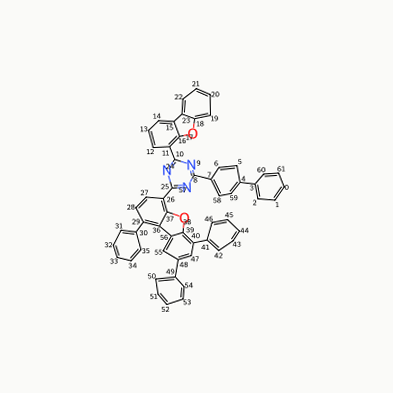 c1ccc(-c2ccc(-c3nc(-c4cccc5c4oc4ccccc45)nc(-c4ccc(-c5ccccc5)c5c4oc4c(-c6ccccc6)cc(-c6ccccc6)cc45)n3)cc2)cc1